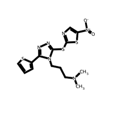 CN(C)CCCn1c(Sc2ncc([N+](=O)[O-])s2)nnc1-c1cccs1